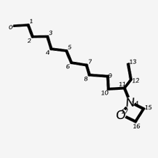 CCCCCCCCCCCC(CC)N1CCO1